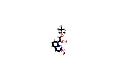 COc1ccc2cccc([C@@H](O)CO[Si](C)(C)C(C)(C)C)c2n1